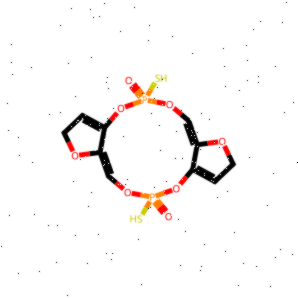 O=P1(S)O/C=C2/OCC=C2OP(=O)(S)O/C=C2/OCC=C2O1